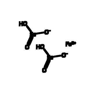 O=[Se]([O-])O.O=[Se]([O-])O.[Fe+2]